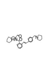 O=CC(CC1CCCCC1)NC(=O)c1ccccc1/C=C/c1ccc(CN2CCCCC2)cc1